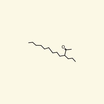 CCCCCCCCCC(CCC)C(C)=O